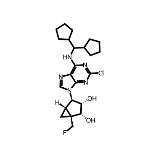 O[C@H]1[C@H](n2cnc3c(NC(C4CCCC4)C4CCCC4)nc(Cl)nc32)[C@H]2C[C@@]2(CF)[C@H]1O